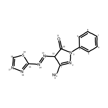 N#CC1=NN(c2ccccc2)C(=O)C1/N=N/c1nncs1